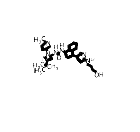 Cc1ccc(-n2nc(C(C)(C)C)cc2NC(=O)Nc2ccc(-c3ccc(NCCCCO)nc3)c3ccccc23)cn1